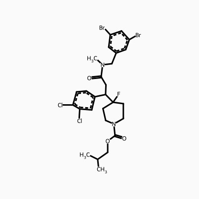 CC(C)COC(=O)N1CCC(F)(C(CC(=O)N(C)Cc2cc(Br)cc(Br)c2)c2ccc(Cl)c(Cl)c2)CC1